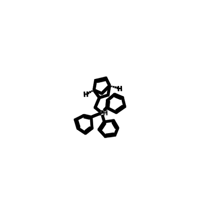 C1=C[C@H]2C[C@@H]1CC2C[PH](c1ccccc1)(c1ccccc1)c1ccccc1